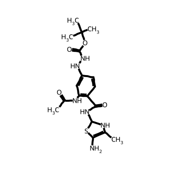 CC(=O)Nc1cc(NNC(=O)OC(C)(C)C)ccc1C(=O)NC1NC(C)=C(N)S1